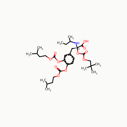 CCC(C)N[C@@](Cc1ccc(OC(=O)OCCC(C)C)c(OC(=O)OCCC(C)C)c1)(OC(=O)OCC(C)(C)C)C(=O)O